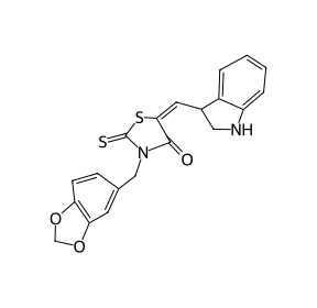 O=C1C(=CC2CNc3ccccc32)SC(=S)N1Cc1ccc2c(c1)OCO2